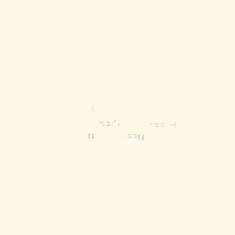 C=C/N=C\N=C(/N)I